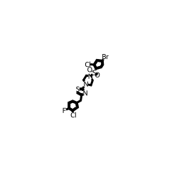 O=S(=O)(c1ccc(Br)cc1Cl)N1CCN(c2nc(Cc3ccc(F)c(Cl)c3)cs2)CC1